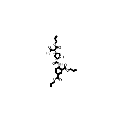 C=CCOC(=O)c1ccc(NC(=O)[C@@H]2C[C@@H](C(C(=O)S)C(=O)OCC=C)CN2)c(C(=O)OCC=C)c1